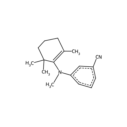 CC1=C(N(C)c2cccc(C#N)c2)C(C)(C)CCC1